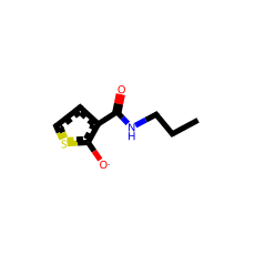 CCCNC(=O)c1ccsc1[O]